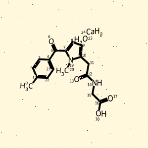 Cc1ccc(C(=O)c2ccc(CC(=O)NCC(=O)O)n2C)cc1.O.[CaH2]